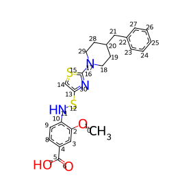 COc1cc(C(=O)O)ccc1NSc1csc(N2CCC(Cc3ccccc3)CC2)n1